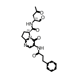 CC(=O)C[C@@H](C=O)NC(=O)[C@@H]1CCc2ncc(NC(=O)CCc3ccccc3)c(=O)n21